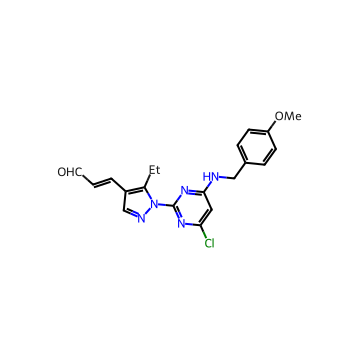 CCc1c(C=CC=O)cnn1-c1nc(Cl)cc(NCc2ccc(OC)cc2)n1